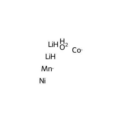 O.[Co].[LiH].[LiH].[Mn].[Ni]